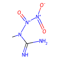 CN(C(=N)N)[N+](=O)[N+](=O)[O-]